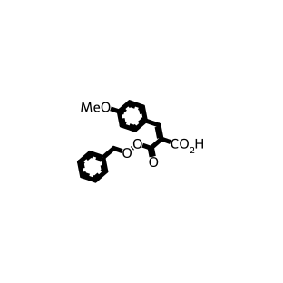 COc1ccc(C=C(C(=O)O)C(=O)OOCc2ccccc2)cc1